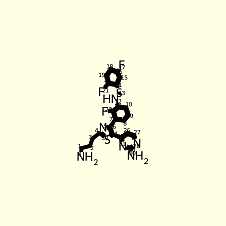 NCCCc1nc(-c2cccc(NSc3cc(F)ccc3F)c2F)c(-c2ccnc(N)n2)s1